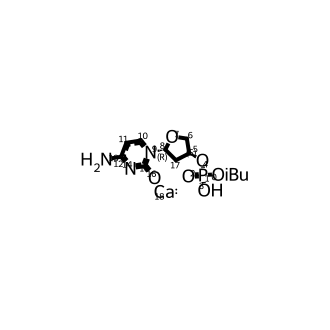 CC(C)COP(=O)(O)O[C@@H]1CO[C@@H](n2ccc(N)nc2=O)C1.[Ca]